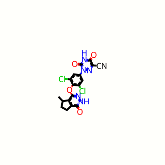 CC1CCc2c1c(Oc1c(Cl)cc(-n3nc(C#N)c(=O)[nH]c3=O)cc1Cl)n[nH]c2=O